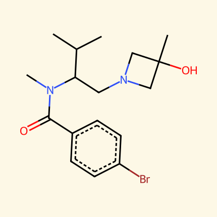 CC(C)C(CN1CC(C)(O)C1)N(C)C(=O)c1ccc(Br)cc1